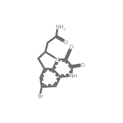 NC(=O)CC1Cc2cc(Br)cc3[nH]c(=O)c(=O)n1c23